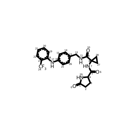 O=C1CCC(C(=O)NC2(C(=O)NCc3ccc(Nc4ccccc4C(F)(F)F)cc3)CC2)N1